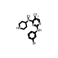 CCN(c1nc(Nc2cccc(Br)c2)ncc1C(F)(F)F)C1CCNCC1